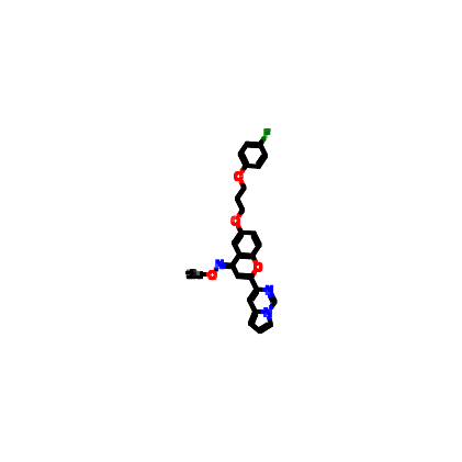 CC(C)(C)ON=c1cc(-c2cc3cccn3cn2)oc2ccc(OCCCOc3ccc(F)cc3)cc12